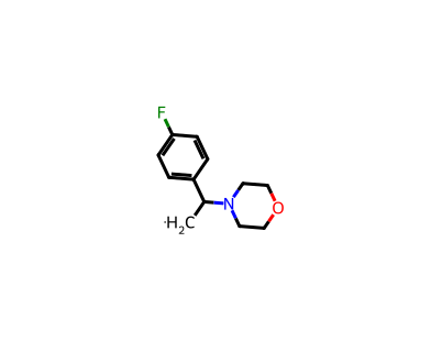 [CH2]C(c1ccc(F)cc1)N1CCOCC1